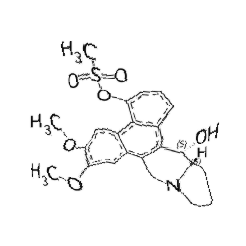 COc1cc2c3c(c4cccc(OS(C)(=O)=O)c4c2cc1OC)[C@H](O)[C@@H]1CCCN1C3